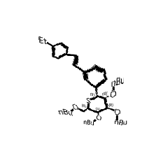 CCCCOC[C@H]1S[C@@H](c2cccc(C=Cc3ccc(CC)cc3)c2)[C@H](OCCCC)[C@@H](OCCCC)[C@@H]1OCCCC